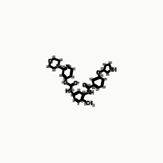 Cc1ccc(NC(=O)Oc2ccnc(N3CCOCC3)c2)cc1NC(=O)c1cccc(OC2CCNC2)c1